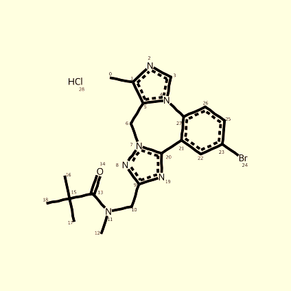 Cc1ncn2c1Cn1nc(CN(C)C(=O)C(C)(C)C)nc1-c1cc(Br)ccc1-2.Cl